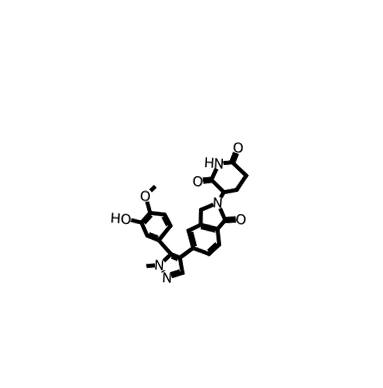 COc1ccc(-c2c(-c3ccc4c(c3)CN(C3CCC(=O)NC3=O)C4=O)cnn2C)cc1O